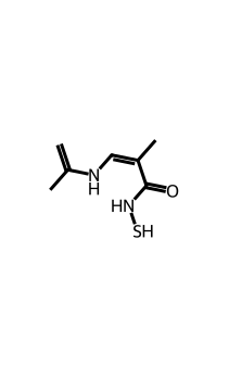 C=C(C)N/C=C(/C)C(=O)NS